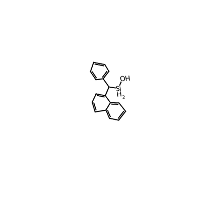 O[SiH2]C(c1ccccc1)c1cccc2ccccc12